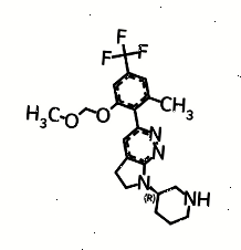 COCOc1cc(C(F)(F)F)cc(C)c1-c1cc2c(nn1)N([C@@H]1CCCNC1)CC2